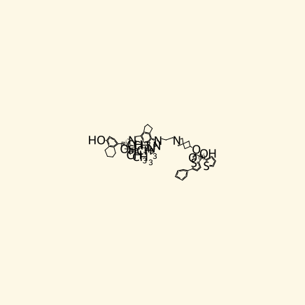 CC(C)(C)[Si](C)(C)O[C@@H](CNCc1cc2nnn(CCCN3CC4(CC(OC(=O)[C@@](O)(c5cccs5)c5ccc(-c6ccccc6)s5)C4)C3)c2c2c1CCC2)c1ccc(O)c2c1CCCC2